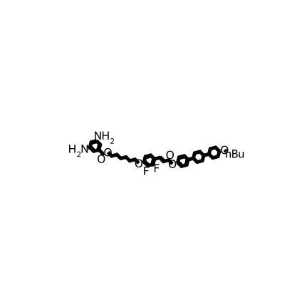 CCCCOC1CCC(C2CCC(c3ccc(OC(=O)/C=C/c4ccc(OCCCCCCOC(=O)c5cc(N)cc(N)c5)c(F)c4F)cc3)CC2)CC1